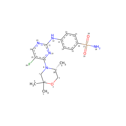 C[C@@H]1COC(C)(C)CN1c1nc(Nc2ccc(S(N)(=O)=O)cc2)ncc1F